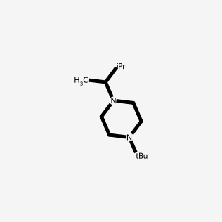 CC(C)C(C)N1CCN(C(C)(C)C)CC1